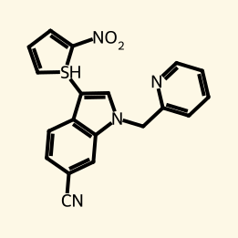 N#Cc1ccc2c([SH]3C=CC=C3[N+](=O)[O-])cn(Cc3ccccn3)c2c1